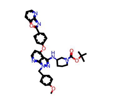 COc1ccc(Cn2nc(N[C@@H]3CCCN(C(=O)OC(C)(C)C)C3)c3c(Oc4ccc(-c5nc6ncccc6o5)cc4)ccnc32)cc1